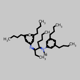 CCCCC(C(CC)=Nc1cc(CCCC)cc(CCCC)c1)=[N+]([Ni])c1cc(CCCC)cc(CCCC)c1